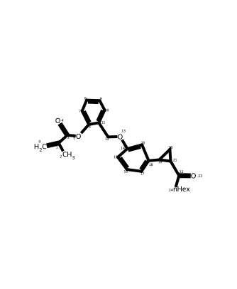 C=C(C)C(=O)Oc1ccccc1COc1cccc(C2CC2C(=O)CCCCCC)c1